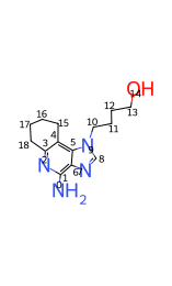 Nc1nc2c(c3c1ncn3CCCCO)CCCC2